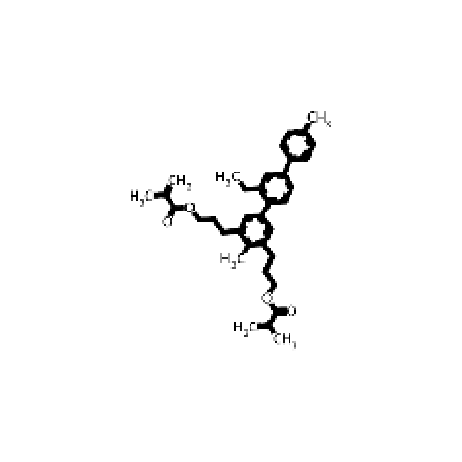 C=C(C)C(=O)OCCCc1cc(-c2ccc(-c3ccc(C)cc3)cc2CC)cc(CCCOC(=O)C(=C)C)c1C